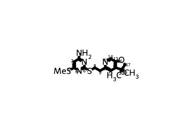 CSc1cc(N)nc(SCCc2cc3c(cn2)OCC3(C)C)n1